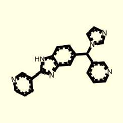 c1cncc(-c2nc3cc(C(c4cccnc4)n4ccnc4)ccc3[nH]2)c1